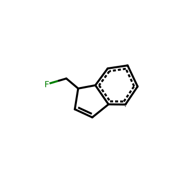 FCC1C=Cc2[c]cccc21